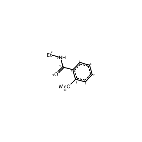 CCNC(=O)c1ccc[c]c1OC